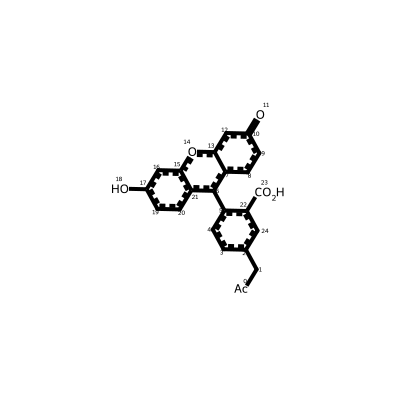 CC(=O)Cc1ccc(-c2c3ccc(=O)cc-3oc3cc(O)ccc23)c(C(=O)O)c1